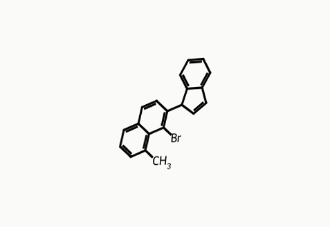 Cc1cccc2ccc(C3C=Cc4ccccc43)c(Br)c12